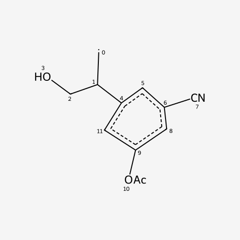 [CH2]C(CO)c1cc(C#N)cc(OC(C)=O)c1